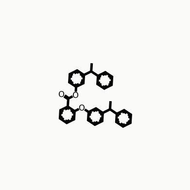 CC(c1ccccc1)c1cccc(OC(=O)c2ccccc2Oc2cccc(C(C)c3ccccc3)c2)c1